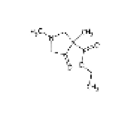 CCOC(=O)C1(C)CN(C)CC1=O